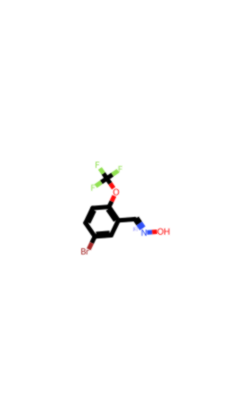 O/N=C/c1cc(Br)ccc1OC(F)(F)F